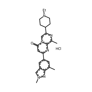 CCN1CCC(c2cn3c(=O)cc(-c4cc(C)c5nn(C)cc5c4)nc3c(C)n2)CC1.Cl